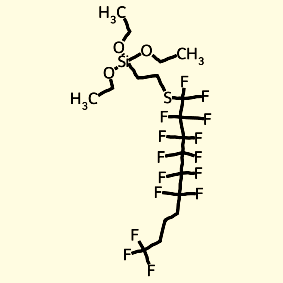 CCO[Si](CCSC(F)(F)C(F)(F)C(F)(F)C(F)(F)C(F)(F)C(F)(F)CCCC(F)(F)F)(OCC)OCC